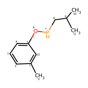 Cc1cccc(OPCC(C)C)c1